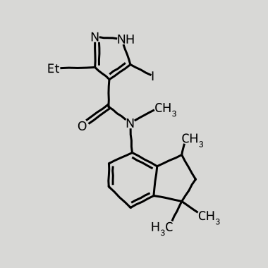 CCc1n[nH]c(I)c1C(=O)N(C)c1cccc2c1C(C)CC2(C)C